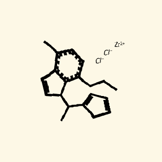 CCCc1ccc(C)c2c1C(C(C)C1=CC=CC1)C=C2.[Cl-].[Cl-].[Zr+2]